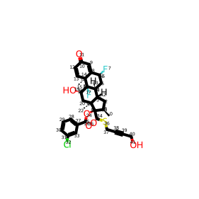 C[C@@H]1C[C@H]2[C@@H]3C[C@H](F)C4=CC(=O)C=C[C@]4(C)[C@@]3(F)[C@@H](O)C[C@]2(C)[C@@]1(OC(=O)c1cccc(Cl)c1)C(=O)SCC#CCO